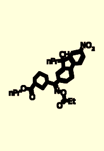 CCCOC(=O)C1CCCC(/C(=N/OC(=O)CC)c2ccc3c(c2)C(C)(CCC)c2cc([N+](=O)[O-])ccc2-3)C1